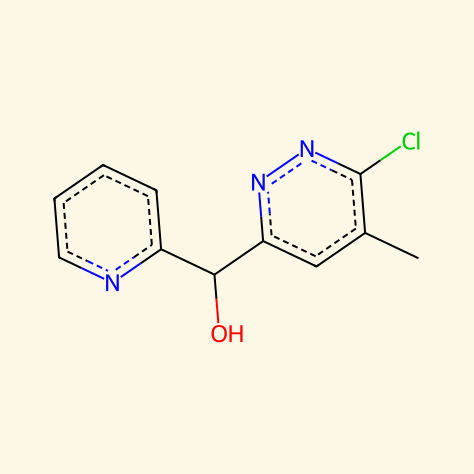 Cc1cc(C(O)c2ccccn2)nnc1Cl